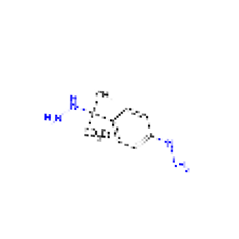 CCOC(=O)C(C)(NN)c1ccc(NN)cc1